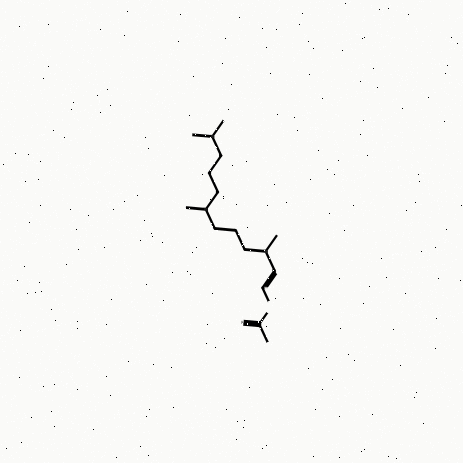 CC(=O)OC=CC(C)CCCC(C)CCCC(C)C